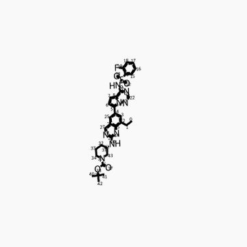 CCc1cc(-c2ccc3c(NS(=O)(=O)c4ccccc4F)ncnn23)cc2cnc(N[C@H]3CCCN(C(=O)OC(C)(C)C)C3)nc12